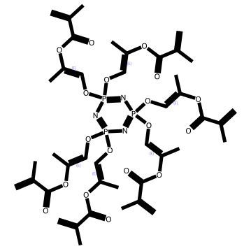 C=C(C)C(=O)O/C(C)=C/OP1(O/C=C(\C)OC(=O)C(=C)C)=NP(O/C=C(\C)OC(=O)C(=C)C)(O/C=C(\C)OC(=O)C(=C)C)=NP(O/C=C(\C)OC(=O)C(=C)C)(O/C=C(\C)OC(=O)C(=C)C)=N1